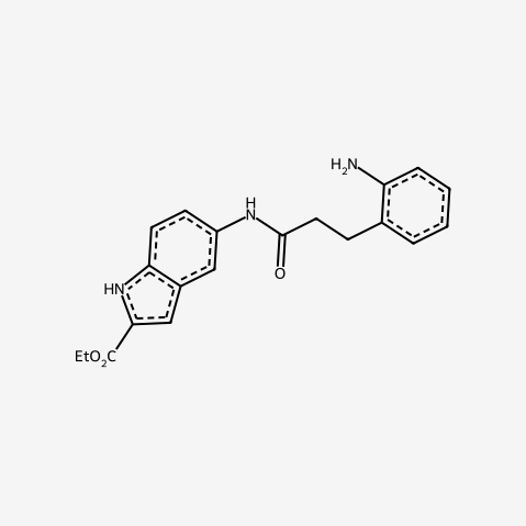 CCOC(=O)c1cc2cc(NC(=O)CCc3ccccc3N)ccc2[nH]1